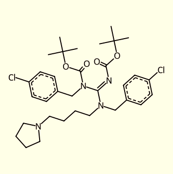 CC(C)(C)OC(=O)N=C(N(CCCCN1CCCC1)Cc1ccc(Cl)cc1)N(Cc1ccc(Cl)cc1)C(=O)OC(C)(C)C